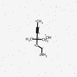 CC#CC(C)(C)OCN.Cl